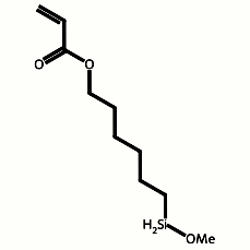 C=CC(=O)OCCCCCC[SiH2]OC